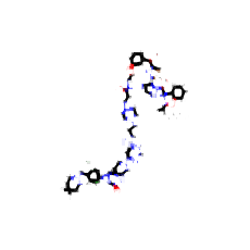 CN[C@@H](C)C(=O)N[C@H](C(=O)N1CCC[C@H]1c1nc(C(=O)c2cccc(OCCNC(=O)CCN3CCN(CCCNc4cc(N5CCC6(CC5)CN(c5cc(F)c(CN7CCC(C)(C)CC7)cc5F)CC(=O)N6)ncn4)CC3)c2)cs1)C1CCCCC1